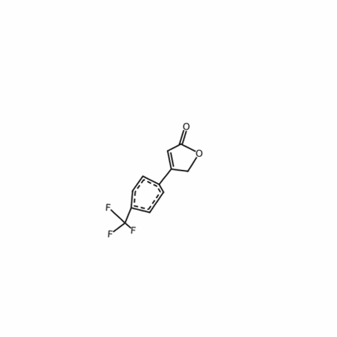 O=C1C=C(c2ccc(C(F)(F)F)cc2)CO1